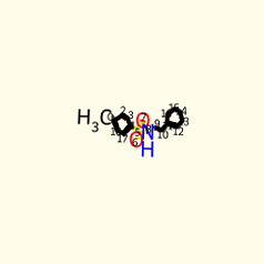 Cc1ccc(S(=O)(=O)NCCC2=CCCCC2)cc1